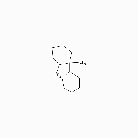 FC(F)(F)C1CCCCC1(C1CCCCC1)C(F)(F)F